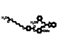 C=CC(=O)OCCCCCCOc1ccc(C(=O)Oc2ccc(OC)c(/C=N/N(CSc3ccccc3N=C)c3nc4ccccc4s3)c2)cc1